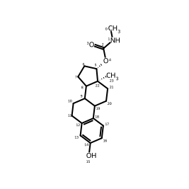 CNC(=O)O[C@H]1CCC2C3CCc4cc(O)ccc4C3CC[C@@]21C